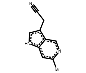 N#CCc1c[nH]c2cc(Br)ncc12